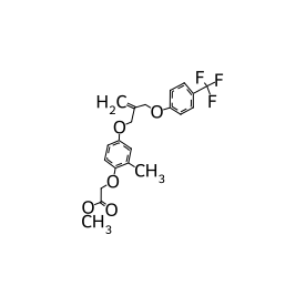 C=C(COc1ccc(C(F)(F)F)cc1)COc1ccc(OCC(=O)OC)c(C)c1